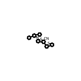 N#Cc1cc(-c2cccc3c2sc2ccccc23)cc2c1sc1c(-n3c4ccccc4c4ccc(-c5ccccc5)cc43)cccc12